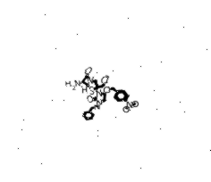 N[C@@H]1C(=O)N2C[C@@](C(=O)OCc3ccc([N+](=O)[O-])cc3)(N3CCN(N=Cc4ccccc4)C3=O)S[C@H]12